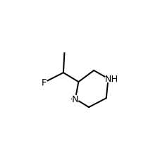 CC(F)C1CNCC[N]1